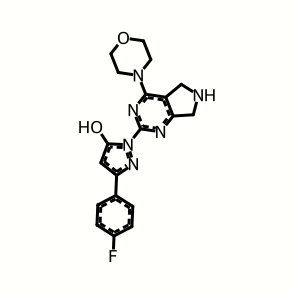 Oc1cc(-c2ccc(F)cc2)nn1-c1nc2c(c(N3CCOCC3)n1)CNC2